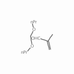 C=C(C)C=O.CCCOCOCCC